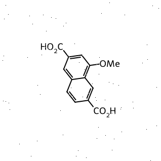 COc1cc(C(=O)O)cc2ccc(C(=O)O)cc12